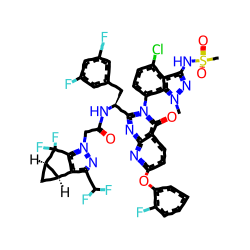 Cn1nc(NS(C)(=O)=O)c2c(Cl)ccc(-n3c([C@H](Cc4cc(F)cc(F)c4)NC(=O)Cn4nc(C(F)F)c5c4C(F)(F)[C@@H]4C[C@H]54)nc4nc(Oc5ccccc5F)ccc4c3=O)c21